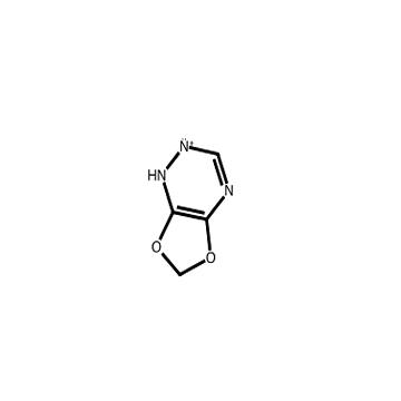 C1=NC2=C(N[N+]1)OCO2